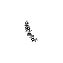 CN(c1c(C#N)cnc2c1ccn2S(=O)(=O)c1ccccc1)[C@@H]1CC2CN(C(=O)Nc3ccc(Cl)c(C(F)(F)F)c3)C[C@H]2C1